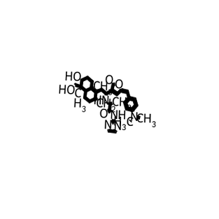 C=C1CCC2[C@](C)(CC[C@H](O)[C@@]2(C)CO)C1CC(NC(C)C(=O)NC1=NCC=N1)C1=C/C(=C\c2ccc(N(C)C)cc2)OC1=O